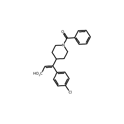 O=C(O)/C=C(\c1ccc(Cl)cc1)C1CCN(C(=O)c2ccccc2)CC1